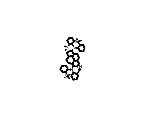 C[Si](C)(C)c1ccccc1N(c1ccccc1C#N)c1ccc2ccc3c(N(c4ccccc4[Si](C)(C)C)c4ccccc4[Si](C)(C)C)ccc4ccc1c2c43